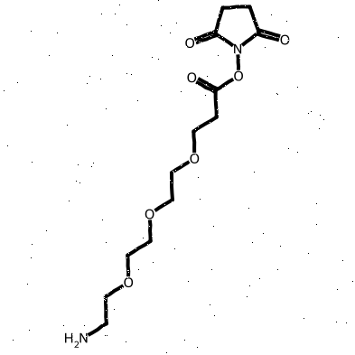 NCCOCCOCCOCCC(=O)ON1C(=O)CCC1=O